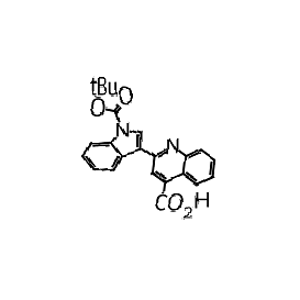 CC(C)(C)OC(=O)n1cc(-c2cc(C(=O)O)c3ccccc3n2)c2ccccc21